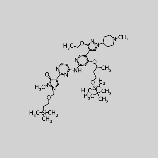 CCOc1nn(C2CCN(C)CC2)cc1-c1cnc(Nc2ccnc(-c3cn(COCC[Si](C)(C)C)n(C)c3=O)n2)cc1OC(C)CCO[Si](C)(C)C(C)(C)C